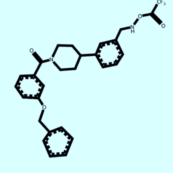 O=C(c1cccc(OCc2ccccc2)c1)N1CCC(c2cccc(CNOC(=O)C(F)(F)F)c2)CC1